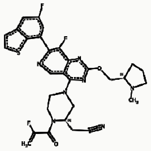 C=C(F)C(=O)N1CCN(c2nc(OC[C@@H]3CCCN3C)nc3c(F)c(-c4cc(F)cc5ccsc45)ncc23)C[C@@H]1CC#N